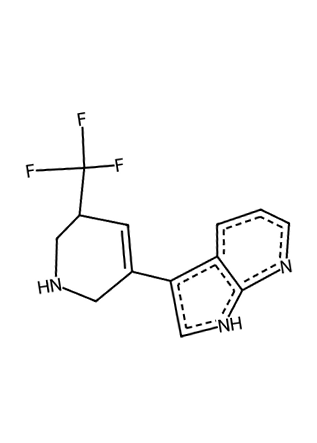 FC(F)(F)C1C=C(c2c[nH]c3ncccc23)CNC1